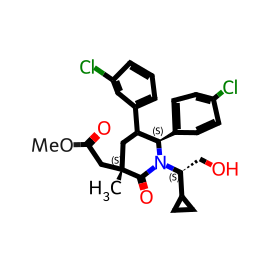 COC(=O)C[C@]1(C)CC(c2cccc(Cl)c2)[C@@H](c2ccc(Cl)cc2)N([C@H](CO)C2CC2)C1=O